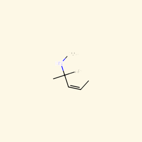 C/C=C\C(C)(CCC)NSC